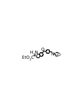 CCOC(=O)CN1CCc2ccc(C(=O)c3ccc(C=NN4CCOCC4)cc3)cc2C1N